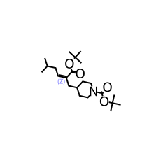 CC(C)C/C=C(/CC1CCN(C(=O)OC(C)(C)C)CC1)C(=O)OC(C)(C)C